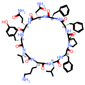 CC(C)C[C@@H]1NC(=O)[C@H](CCCCN)NC(=O)[C@H](C(C)C)NC(=O)[C@H](Cc2ccc(O)cc2)NC(=O)[C@H](CCC(N)=O)NC(=O)[C@H](CC(N)=O)NC(=O)[C@@H](Cc2ccccc2)NC(=O)[C@H](Cc2ccccc2)NC(=O)[C@@H]2CCCN2C(=O)[C@@H](Cc2ccccc2)NC1=O